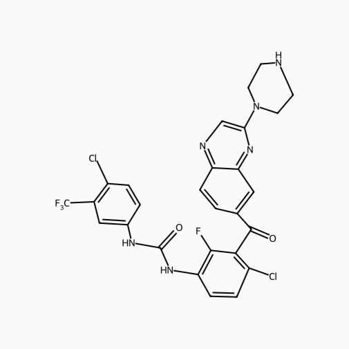 O=C(Nc1ccc(Cl)c(C(F)(F)F)c1)Nc1ccc(Cl)c(C(=O)c2ccc3ncc(N4CCNCC4)nc3c2)c1F